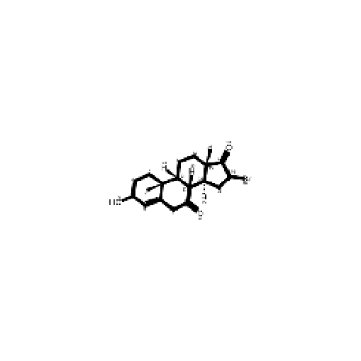 C[C@]12CCC(O)C=C1CC(=O)[C@@H]1[C@H]2CC[C@]2(C)C(=O)C(Br)C[C@@H]12